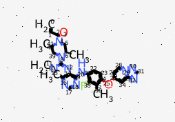 C=CC(=O)N1C[C@@H](C)N(/C(N=C)=N/c2c(C)ncnc2Nc2ccc(Oc3ccn4ncnc4c3)c(C)c2F)C[C@H]1C